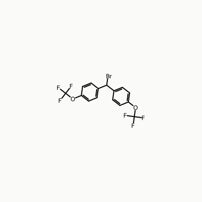 FC(F)(F)Oc1ccc(C(Br)c2ccc(OC(F)(F)F)cc2)cc1